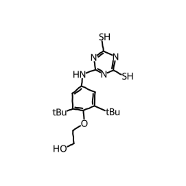 CC(C)(C)c1cc(Nc2nc(S)nc(S)n2)cc(C(C)(C)C)c1OCCO